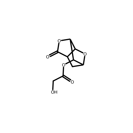 O=C(CO)OC1C2CC3C(=O)OC1C3O2